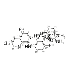 C[C@]1(c2cc(Nc3ncc(F)c4cc(Cl)cnc34)ccc2F)N=C(N)[C@@]2(C)CC[C@@H]1S2(=O)=O